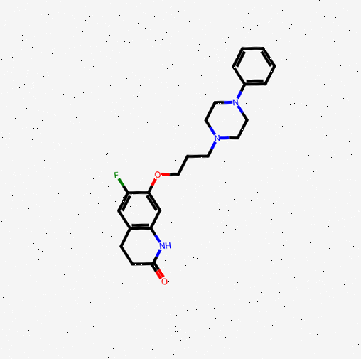 O=C1CCc2cc(F)c(OCCCN3CCN(c4ccccc4)CC3)cc2N1